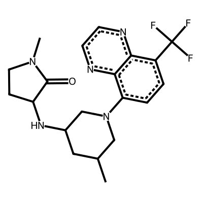 CC1CC(NC2CCN(C)C2=O)CN(c2ccc(C(F)(F)F)c3nccnc23)C1